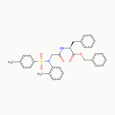 Cc1ccc(S(=O)(=O)N(CC(=O)N[C@@H](Cc2ccccc2)C(=O)OCc2ccccc2)c2ccccc2C)cc1